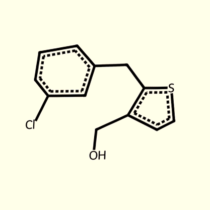 OCc1ccsc1Cc1cccc(Cl)c1